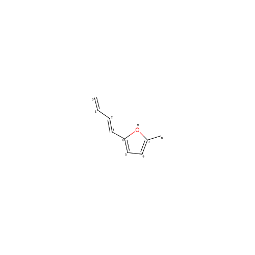 C=CC=Cc1ccc(C)o1